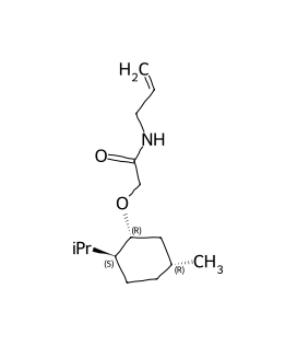 C=CCNC(=O)CO[C@@H]1C[C@H](C)CC[C@H]1C(C)C